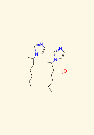 CCCCCC(C)n1ccnc1.CCCCCC(C)n1ccnc1.O